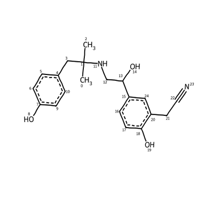 CC(C)(Cc1ccc(O)cc1)NCC(O)c1ccc(O)c(CC#N)c1